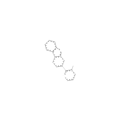 Brc1cccnc1-c1ccc2c(c1)oc1ccccc12